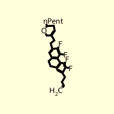 C=CCCc1cc2c(c(F)c1F)-c1c(cc(CCC3=CCC(CCCCC)OC3)c(F)c1F)CC2